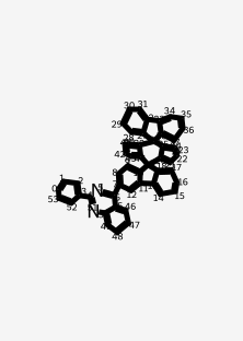 c1ccc(-c2nc(-c3ccc4c(c3)-c3ccccc3C43c4ccccc4C4(c5ccccc5-c5ccccc54)c4ccccc43)c3ccccc3n2)cc1